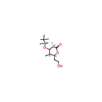 C[C@@H]1C(=O)O[C@@H](CCO)[C@@H](C)C1O[Si](C)(C)C(C)(C)C